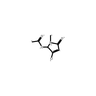 CC(=O)OC1C(Cl)=CC(=O)N1C